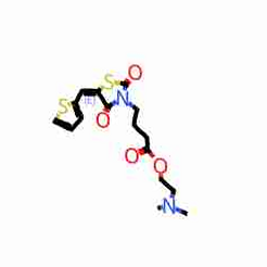 CN(C)CCOC(=O)CCCN1C(=O)S/C(=C/c2cccs2)C1=O